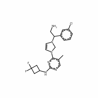 Cc1cnc(NC2CC(F)(F)C2)nc1N1C=CN(C(CN)c2cccc(Cl)c2)C1